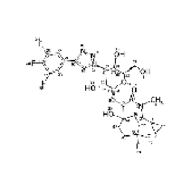 CN(CC1CC1)C(=O)C(S[C@@H]1O[C@H](CO)[C@H](O)[C@H](n2cc(-c3cc(F)c(F)c(F)c3)nn2)[C@H]1O)C1(O)CCC(F)(F)CC1